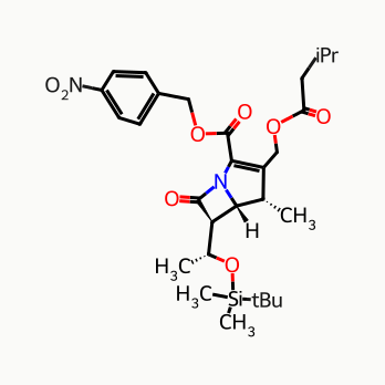 CC(C)CC(=O)OCC1=C(C(=O)OCc2ccc([N+](=O)[O-])cc2)N2C(=O)[C@H]([C@@H](C)O[Si](C)(C)C(C)(C)C)[C@H]2[C@H]1C